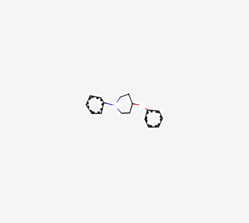 [c]1ccccc1N1CCC(Oc2ccccc2)CC1